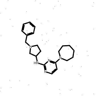 c1ccc(CN2CCC(Nc3nccc(N4CCCCCC4)n3)C2)cc1